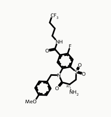 COc1ccc(CN2C(=O)[C@@H](N)CS(=O)(=O)c3cc(F)c(C(=O)NCCCC(F)(F)F)cc32)cc1